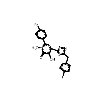 Cn1c(-c2ccc(Br)cc2)nc(-c2nnc(Cc3ccc(F)cc3)o2)c(O)c1=O